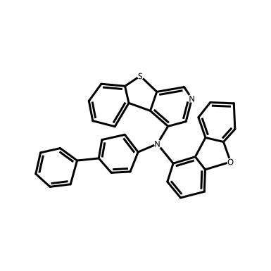 c1ccc(-c2ccc(N(c3cccc4oc5ccccc5c34)c3cncc4sc5ccccc5c34)cc2)cc1